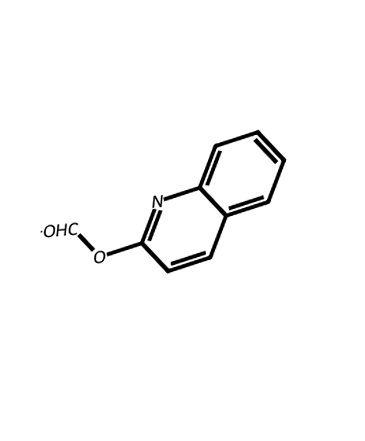 O=[C]Oc1ccc2ccccc2n1